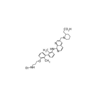 CCNCCCOc1cccc(-c2cccc(Nc3nccc4cc(CN5CCCCC5CC(=O)O)cnc34)c2C)c1C